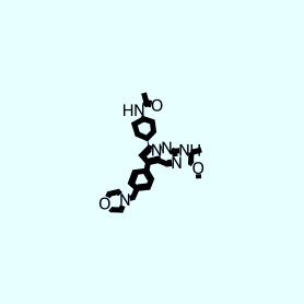 COCC(C)Nc1ncc2c(-c3ccc(CN4CCOCC4)cc3)cc([C@H]3CC[C@H](NC(C)=O)CC3)n2n1